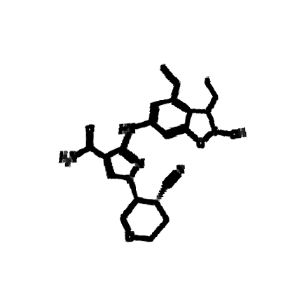 CCc1cc(Nc2nn([C@@H]3COCC[C@H]3C#N)cc2C(N)=O)cc2c1C(CC)B(O)O2